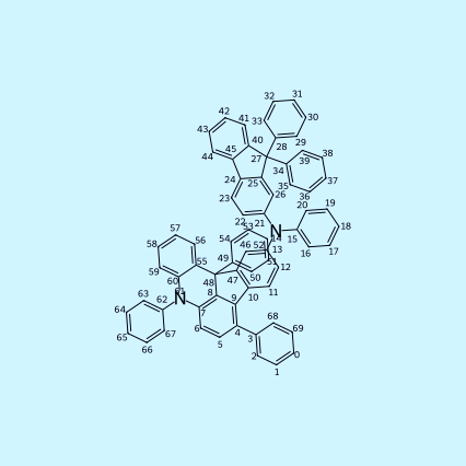 c1ccc(-c2ccc3c4c2-c2ccc(N(c5ccccc5)c5ccc6c(c5)C(c5ccccc5)(c5ccccc5)c5ccccc5-6)cc2C4(c2ccccc2)c2ccccc2N3c2ccccc2)cc1